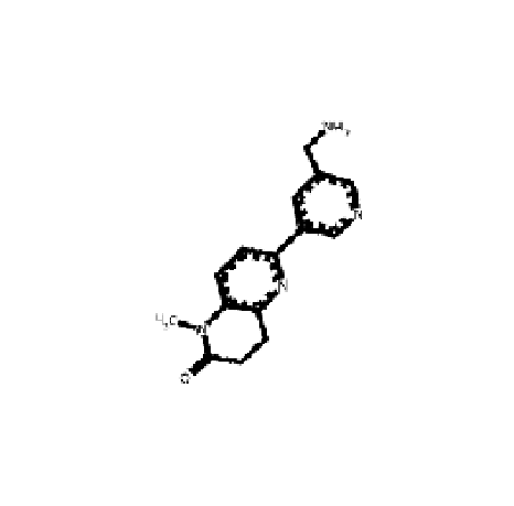 CN1C(=O)CCc2nc(-c3cncc(CN)c3)ccc21